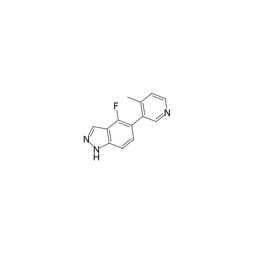 Cc1ccncc1-c1ccc2[nH]ncc2c1F